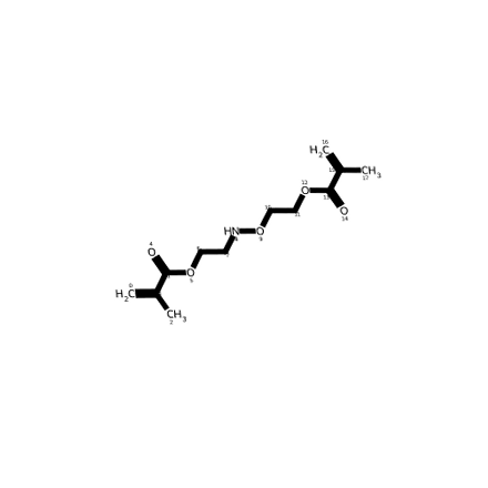 C=C(C)C(=O)OCCNOCCOC(=O)C(=C)C